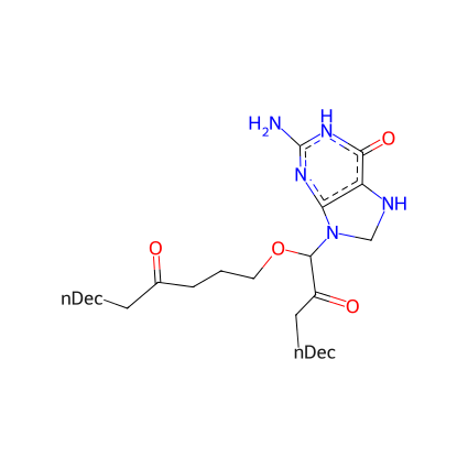 CCCCCCCCCCCC(=O)CCCOC(C(=O)CCCCCCCCCCC)N1CNc2c1nc(N)[nH]c2=O